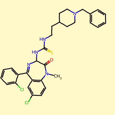 CN1C(=O)C(NC(=S)NCCC2CCN(Cc3ccccc3)CC2)N=C(c2ccccc2Cl)c2cc(Cl)ccc21